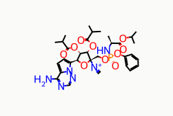 C#[N+][C@]1(CO[P@@](=O)(N[C@@H](C)C(=O)OC(C)C)Oc2ccccc2)O[C@@H](c2ccc3c(N)ncnn23)[C@H](OC(=O)C(C)C)[C@@H]1OC(=O)C(C)C